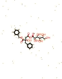 O=C(CC(O)(Cc1ccccc1)C(=O)OCc1ccccc1)OC(=O)[C@H](O)[C@@H](O)[C@H](O)[C@H](O)CO